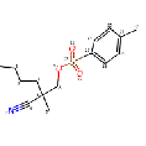 CCCCC(C)(C#N)COS(=O)(=O)c1ccc(C)cc1